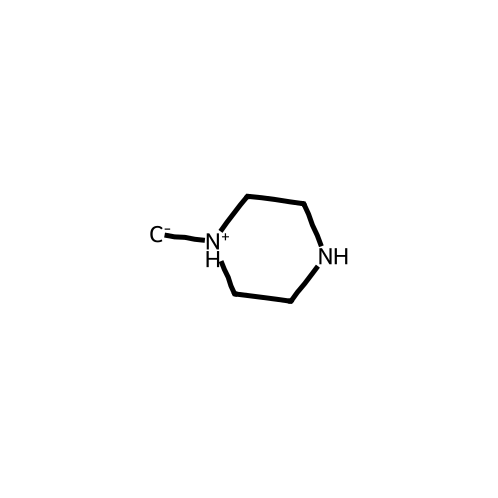 [CH2-][NH+]1CCNCC1